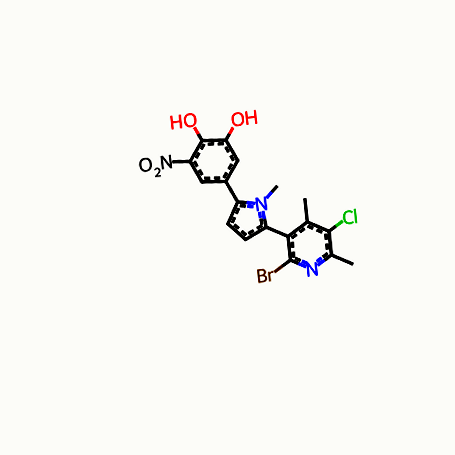 Cc1nc(Br)c(-c2ccc(-c3cc(O)c(O)c([N+](=O)[O-])c3)n2C)c(C)c1Cl